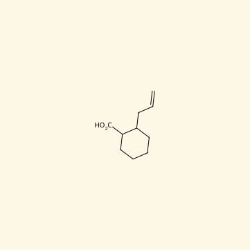 C=CCC1CCCCC1C(=O)O